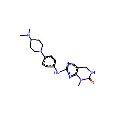 CN1C(=O)NCc2cnc(Nc3ccc(N4CCC(N(C)C)CC4)cc3)nc21